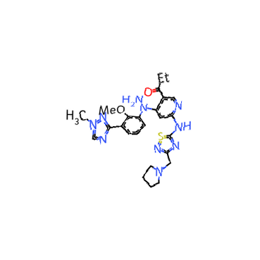 CCC(=O)c1cnc(Nc2nc(CN3CCCC3)ns2)cc1N(N)c1cccc(-c2ncn(C)n2)c1OC